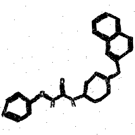 O=C(NOc1ccncc1)NC1CCN(Cc2ccc3ccccc3c2)CC1